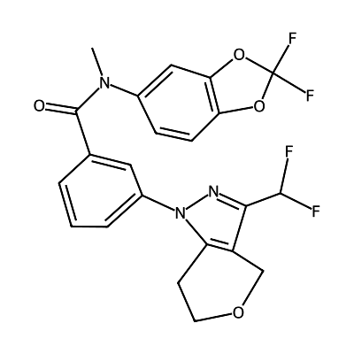 CN(C(=O)c1cccc(-n2nc(C(F)F)c3c2CCOC3)c1)c1ccc2c(c1)OC(F)(F)O2